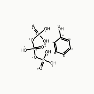 O=P(O)(O)OP(=O)(O)OP(=O)(O)O.Oc1ccccc1